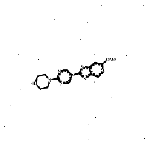 COc1ccc2nc(-c3cnc(N4CCNCC4)nc3)sc2c1